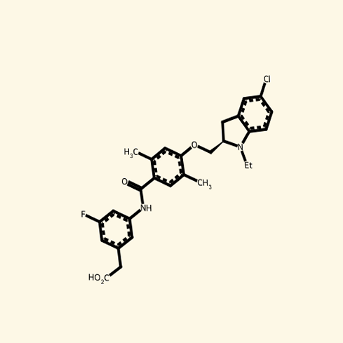 CCN1c2ccc(Cl)cc2C[C@@H]1COc1cc(C)c(C(=O)Nc2cc(F)cc(CC(=O)O)c2)cc1C